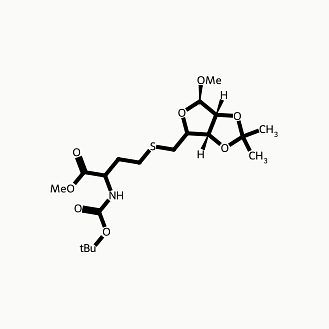 COC(=O)C(CCSCC1O[C@@H](OC)[C@@H]2OC(C)(C)O[C@H]12)NC(=O)OC(C)(C)C